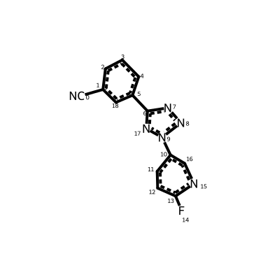 N#Cc1cccc(-c2nnn(-c3ccc(F)nc3)n2)c1